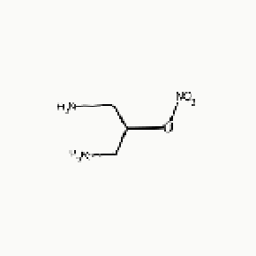 NCC(CN)O[N+](=O)[O-]